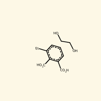 CCc1cccc(C(=O)O)c1C(=O)O.OCCO